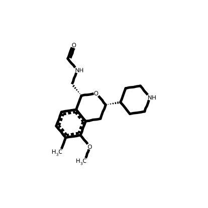 COc1c(C)ccc2c1C[C@@H](C1CCNCC1)O[C@H]2CNC=O